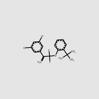 C=C(c1cc(Cl)cc(Cl)c1)C(F)(F)Oc1ccccc1C(C)(C)C